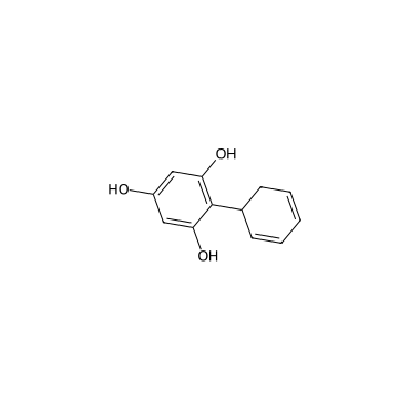 Oc1cc(O)c(C2C=CC=CC2)c(O)c1